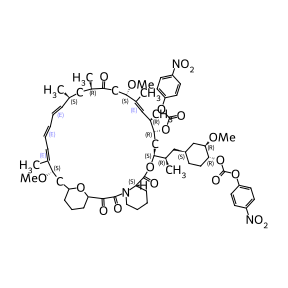 CO[C@H]1CC(=O)[C@H](C)C[C@H](C)/C=C/C=C/C=C(\C)[C@@H](OC)CC2CCCC(O2)C(=O)C(=O)N2CCCC[C@H]2C(=O)O[C@H]([C@H](C)C[C@@H]2CC[C@@H](OC(=O)Oc3ccc([N+](=O)[O-])cc3)[C@H](OC)C2)C[C@@H](OC(=O)Oc2ccc([N+](=O)[O-])cc2)[C@H](C)/C=C/1C